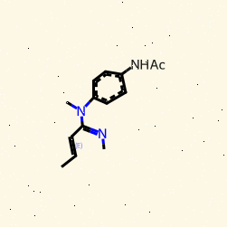 C/C=C/C(=NC)N(C)c1ccc(NC(C)=O)cc1